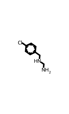 NCNCc1ccc(Cl)cc1